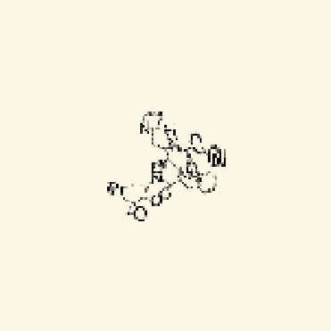 CC(C)C[C@H](NC(=O)[C@H](Cc1ccccc1)NC(=O)C(Cc1ccccn1)NC(=O)OC(C)(C)C)C(=O)[C@@]1(C)CO1